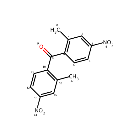 Cc1cc([N+](=O)[O-])ccc1C(=O)c1ccc([N+](=O)[O-])cc1C